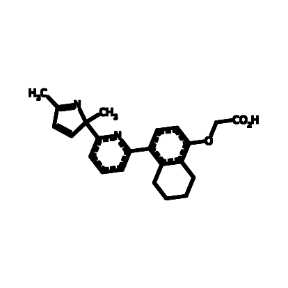 CC1=NC(C)(c2cccc(-c3ccc(OCC(=O)O)c4c3CCCC4)n2)C=C1